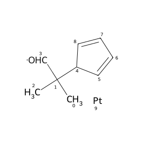 CC(C)([C]=O)C1C=CC=C1.[Pt]